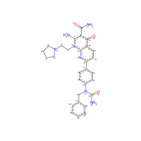 NC(=O)c1c(N)n(CCN2CCCC2)c2nc(-c3ccc(N(Cc4cccnc4)C(N)=O)cc3)ccc2c1=O